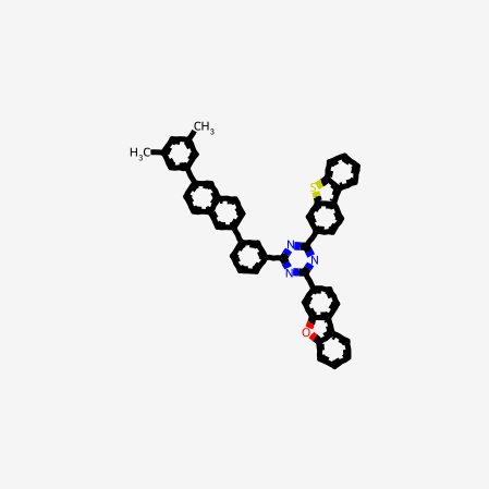 Cc1cc(C)cc(-c2ccc3cc(-c4cccc(-c5nc(-c6ccc7c(c6)oc6ccccc67)nc(-c6ccc7c(c6)sc6ccccc67)n5)c4)ccc3c2)c1